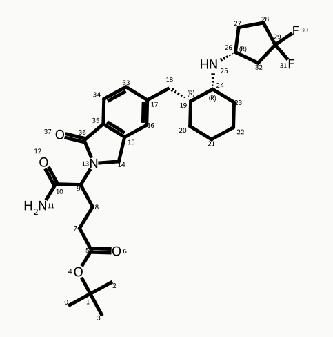 CC(C)(C)OC(=O)CCC(C(N)=O)N1Cc2cc(C[C@H]3CCCC[C@H]3N[C@@H]3CCC(F)(F)C3)ccc2C1=O